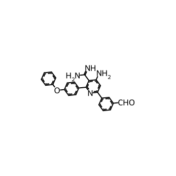 N=C(N)c1c(N)cc(-c2cccc(C=O)c2)nc1-c1ccc(Oc2ccccc2)cc1